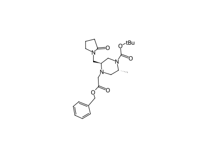 C[C@@H]1CN(CC(=O)OCc2ccccc2)[C@@H](CN2CCCC2=O)CN1C(=O)OC(C)(C)C